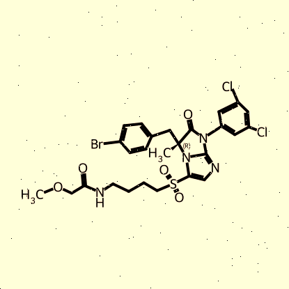 COCC(=O)NCCCCS(=O)(=O)c1cnc2n1[C@](C)(Cc1ccc(Br)cc1)C(=O)N2c1cc(Cl)cc(Cl)c1